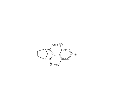 COC1=C(c2c(OC)cc(Br)cc2C(F)(F)F)C(=O)C2CCC1C2